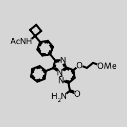 COCCOc1cc(C(N)=O)nn2c(-c3ccccc3)c(-c3ccc(C4(NC(C)=O)CCC4)cc3)nc12